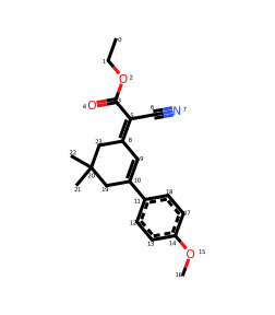 CCOC(=O)C(C#N)=C1C=C(c2ccc(OC)cc2)CC(C)(C)C1